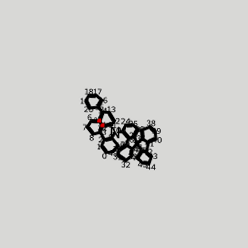 C1=CC(c2ccccc2)=C(N(c2ccc(-c3ccccc3)cc2)c2cccc3c2-c2ccccc2C32c3ccccc3-c3ccccc32)CC1